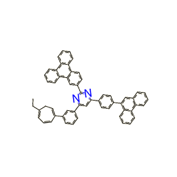 CCC1=CC=CC(c2cccc(-c3cc(-c4ccc(-c5cc6ccccc6c6ccccc56)cc4)nc(-c4ccc5c6ccccc6c6ccccc6c5c4)n3)c2)=CC1